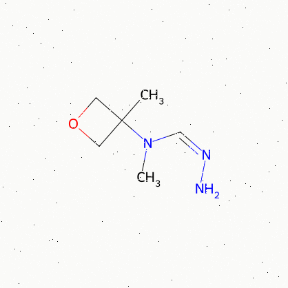 CN(/C=N\N)C1(C)COC1